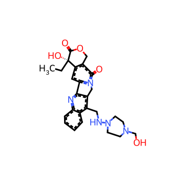 CC[C@@]1(O)C(=O)OCc2c1cc1n(c2=O)Cc2c-1nc1ccccc1c2CNN1CCN(CO)CC1